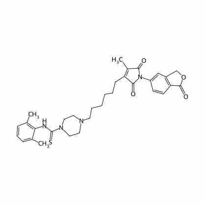 CC1=C(CCCCCCN2CCN(C(=S)Nc3c(C)cccc3C)CC2)C(=O)N(c2ccc3c(c2)COC3=O)C1=O